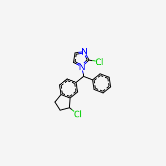 Clc1nccn1C(c1ccccc1)c1ccc2c(c1)C(Cl)CC2